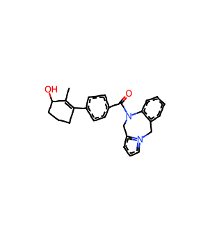 CC1=C(c2ccc(C(=O)N3Cc4cccn4Cc4ccccc43)cc2)CCCC1O